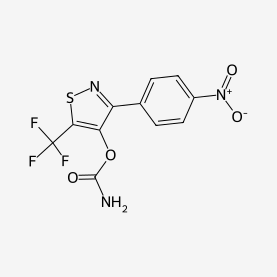 NC(=O)Oc1c(-c2ccc([N+](=O)[O-])cc2)nsc1C(F)(F)F